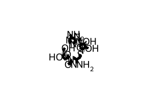 Nc1nc(=O)n([C@H]2CC(O)[C@@H](CO)O2)cc1CSC[C@H]1O[C@@H](n2cnc3c(N)ncnc32)[C@@H](O)C1O